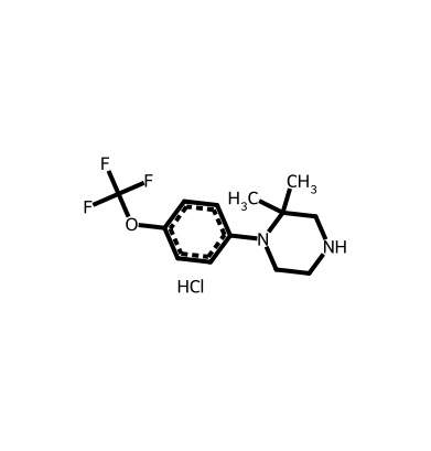 CC1(C)CNCCN1c1ccc(OC(F)(F)F)cc1.Cl